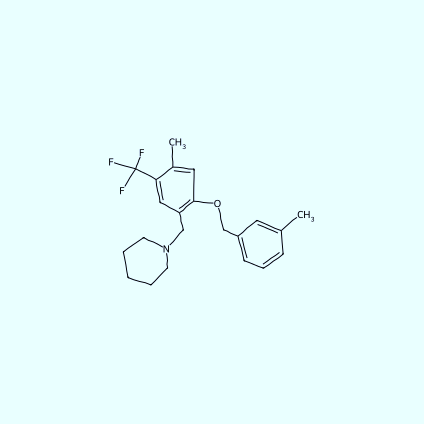 Cc1cccc(COc2cc(C)c(C(F)(F)F)cc2CN2CCCCC2)c1